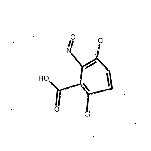 O=Nc1c(Cl)ccc(Cl)c1C(=O)O